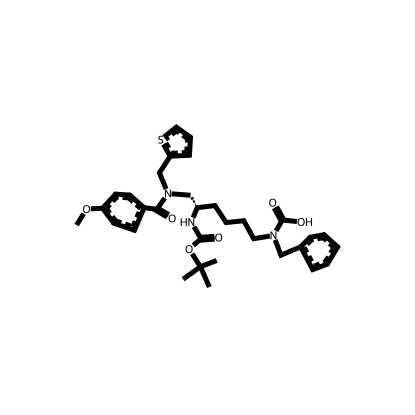 COc1ccc(C(=O)N(Cc2cccs2)C[C@H](CCCCN(Cc2ccccc2)C(=O)O)NC(=O)OC(C)(C)C)cc1